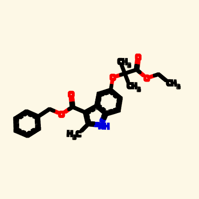 CCOC(=O)C(C)(C)Oc1ccc2[nH]c(C)c(C(=O)OCc3ccccc3)c2c1